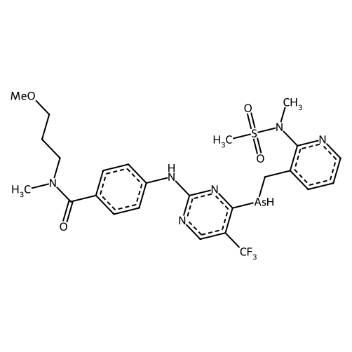 COCCCN(C)C(=O)c1ccc(Nc2ncc(C(F)(F)F)c([AsH]Cc3cccnc3N(C)S(C)(=O)=O)n2)cc1